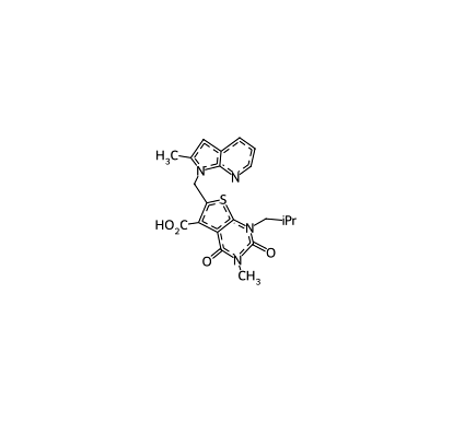 Cc1cc2cccnc2n1Cc1sc2c(c1C(=O)O)c(=O)n(C)c(=O)n2CC(C)C